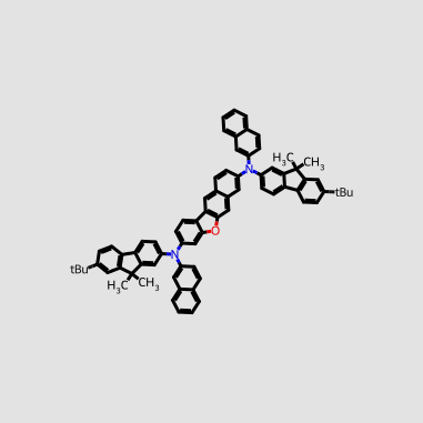 CC(C)(C)c1ccc2c(c1)C(C)(C)c1cc(N(c3ccc4ccccc4c3)c3ccc4cc5c(cc4c3)oc3cc(N(c4ccc6c(c4)C(C)(C)c4cc(C(C)(C)C)ccc4-6)c4ccc6ccccc6c4)ccc35)ccc1-2